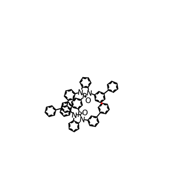 O=P1(c2cccc(P3(=O)N(c4cccc(-c5ccccc5)c4)c4ccccc4N3c3cccc(-c4ccccc4)c3)c2)N(c2cccc(-c3ccccc3)c2)c2ccccc2N1c1cccc(-c2ccccc2)c1